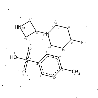 Cc1ccc(S(=O)(=O)O)cc1.FC1CCN(C2CNC2)CC1